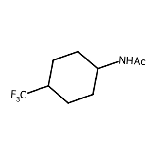 CC(=O)NC1CCC(C(F)(F)F)CC1